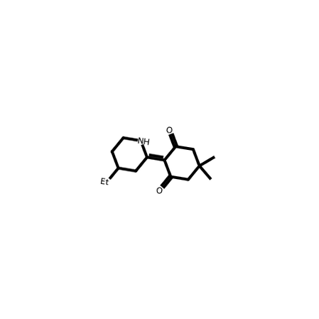 CCC1CCNC(=C2C(=O)CC(C)(C)CC2=O)C1